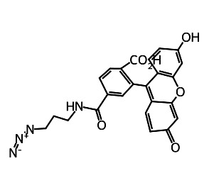 [N-]=[N+]=NCCCNC(=O)c1ccc(C(=O)O)c(-c2c3ccc(=O)cc-3oc3cc(O)ccc23)c1